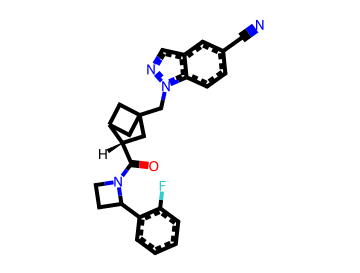 N#Cc1ccc2c(cnn2CC23CC(C2)[C@@H](C(=O)N2CCC2c2ccccc2F)C3)c1